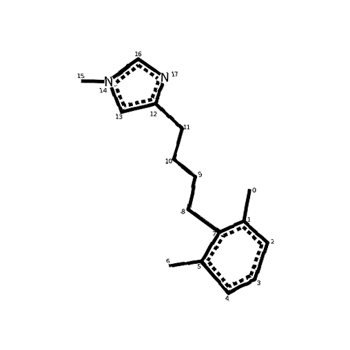 Cc1cccc(C)c1CCCCc1cn(C)cn1